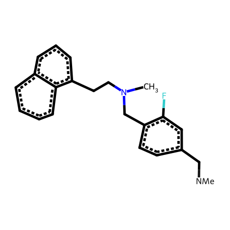 CNCc1ccc(CN(C)CCc2cccc3ccccc23)c(F)c1